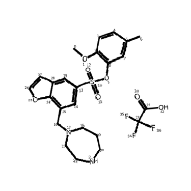 COc1ccc(C)cc1OS(=O)(=O)c1cc(CN2CCCNCC2)c2occc2c1.O=C(O)C(F)(F)F